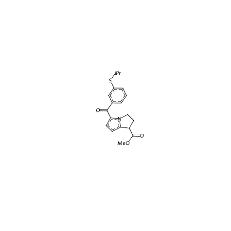 COC(=O)C1CCn2c(C(=O)c3cccc(SC(C)C)c3)ccc21